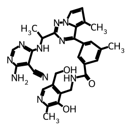 Cc1cc(C(=O)NCc2c(CO)cnc(C)c2O)cc(-c2nc(C(C)Nc3ncnc(N)c3C#N)nn3ccc(C)c23)c1